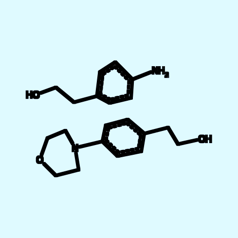 Nc1ccc(CCO)cc1.OCCc1ccc(N2CCOCC2)cc1